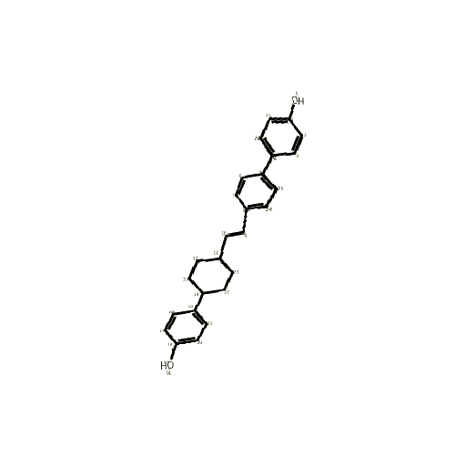 Oc1ccc(-c2ccc(CCC3CCC(c4ccc(O)cc4)CC3)cc2)cc1